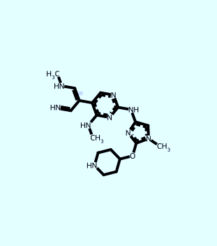 CN/C=C(\C=N)c1cnc(Nc2cn(C)c(OC3CCNCC3)n2)nc1NC